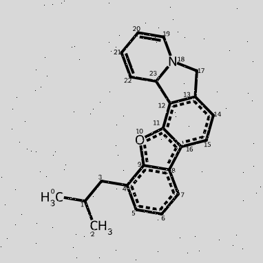 CC(C)Cc1cccc2c1oc1c3c(ccc12)CN1C=CC=CC31